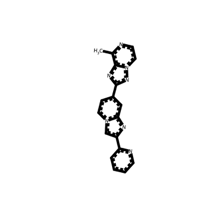 Cc1nccn2nc(-c3ccn4cc(-c5ccccn5)nc4c3)nc12